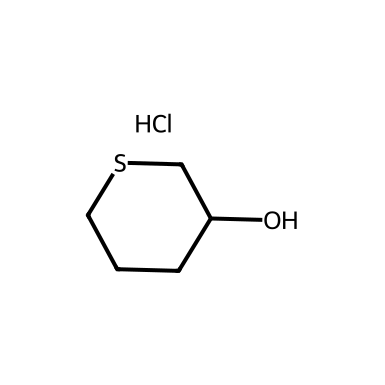 Cl.OC1CCCSC1